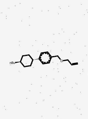 C=CCOCc1ccc([C@H]2CC[C@H](CCCC)CC2)cc1